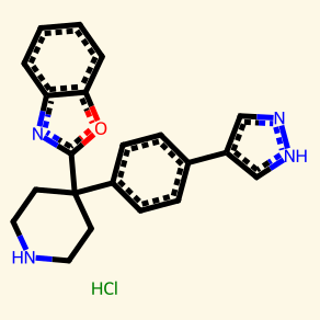 Cl.c1ccc2oc(C3(c4ccc(-c5cn[nH]c5)cc4)CCNCC3)nc2c1